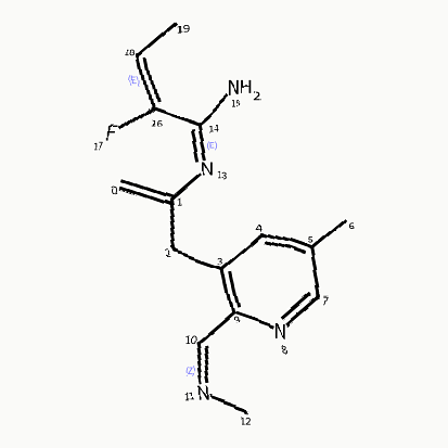 C=C(Cc1cc(C)cnc1/C=N\C)/N=C(N)\C(F)=C/C